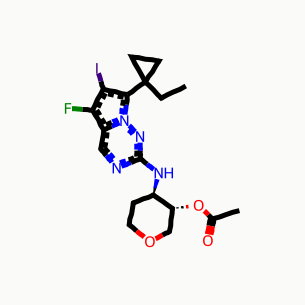 CCC1(c2c(I)c(F)c3cnc(N[C@@H]4CCOC[C@H]4OC(C)=O)nn23)CC1